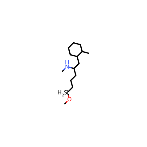 CNC(CCC[SiH2]OC)CC1CCCCC1C